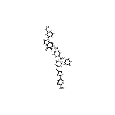 COc1ccc(-c2ncc(CN3CC[C@@H](C(=O)N4CCC(O)(Cn5cnc6c(ccn6-c6cccc(CO)c6)c5=O)CC4)[C@H](c4ccccc4)C3)s2)cn1